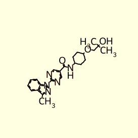 Cc1nn(-c2ncc(C(=O)NC3CCC(OCC(C)(C)O)CC3)cn2)c2ccccc12